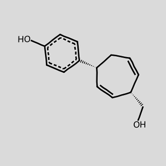 OC[C@H]1C=CC[C@@H](c2ccc(O)cc2)C=C1